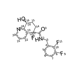 O=C(NCc1cccc(F)c1F)[C@]1(F)CC[C@H](O)c2ncccc21